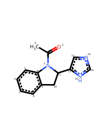 CC(=O)N1c2ccccc2CC1c1cnc[nH]1